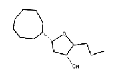 CCCC1O[C@@H](C2CCCCCCC2)C[C@H]1O